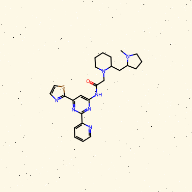 CN1CCCC1CC1CCCCN1CC(=O)Nc1cc(-c2nccs2)nc(-c2ccccn2)n1